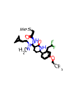 C=NN(CCC1CC1)/C(NC(=O)CSC)=C1\CCC(c2ccc(OCC(F)(F)F)cc2CC(F)F)NC1=O